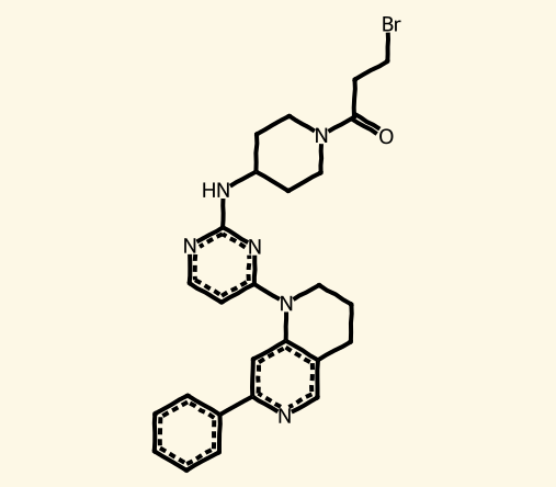 O=C(CCBr)N1CCC(Nc2nccc(N3CCCc4cnc(-c5ccccc5)cc43)n2)CC1